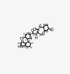 CN1C(=O)[C@@H](NC(=O)c2ncc(Cl)c(-c3cccc4[nH]cnc34)n2)COc2cc(Cl)cnc21